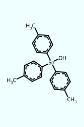 Cc1cc[c]([Sn]([OH])([c]2ccc(C)cc2)[c]2ccc(C)cc2)cc1